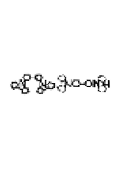 C1=CC2C(C(c3ccc4c(c3)c3ccccc3n4-c3cccc(-c4cccc(-n5c6ccccc6c6ccccc65)c4)c3)=C1)C1=C(C=CCC1)N2c1ccc(-c2ccc(N3C4=C(CCC=C4)[C@H]4C=CC=CC43)cc2)cc1